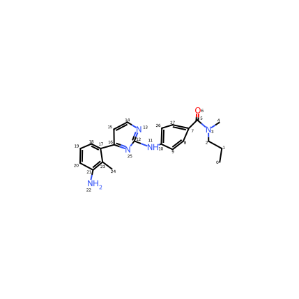 CCCN(C)C(=O)c1ccc(Nc2nccc(-c3cccc(N)c3C)n2)cc1